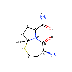 NC(=O)C1CC[C@@H]2SCC[C@H](N)C(=O)N12